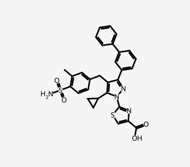 Cc1cc(Cc2c(-c3cccc(-c4ccccc4)c3)nn(-c3nc(C(=O)O)cs3)c2C2CC2)ccc1S(N)(=O)=O